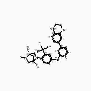 CN1C[C@@H]2C[C@H]1CN2c1ccc(Nc2nccc(-c3cnc4c(c3)OCCN4)n2)cc1C(F)(F)F